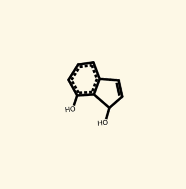 Oc1cccc2c1C(O)C=C2